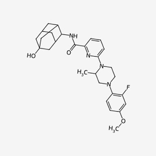 COc1ccc(N2CCN(c3cccc(C(=O)NC4C5CC6CC4CC(O)(C6)C5)n3)C(C)C2)c(F)c1